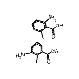 Cc1c(N)cccc1C(=O)O.Cc1cccc(N)c1C(=O)O